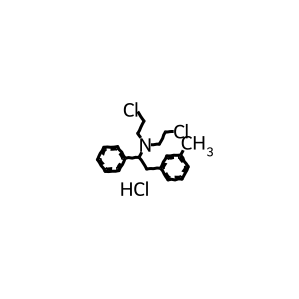 Cc1cccc(CC(c2ccccc2)N(CCCl)CCCl)c1.Cl